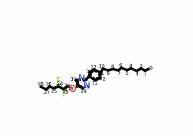 CCCCCCCCCCCc1ccc(-c2ncc(OCC(F)C(F)CCCC)cn2)cc1